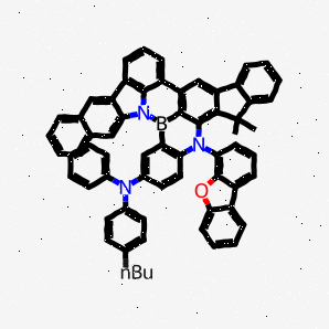 CCCCc1ccc(N(c2ccccc2)c2ccc3c(c2)B2c4c(cc5c(c4N3c3cccc4c3oc3ccccc34)C(C)(C)c3ccccc3-5)-c3cccc4c5cc6ccccc6cc5n2c34)cc1